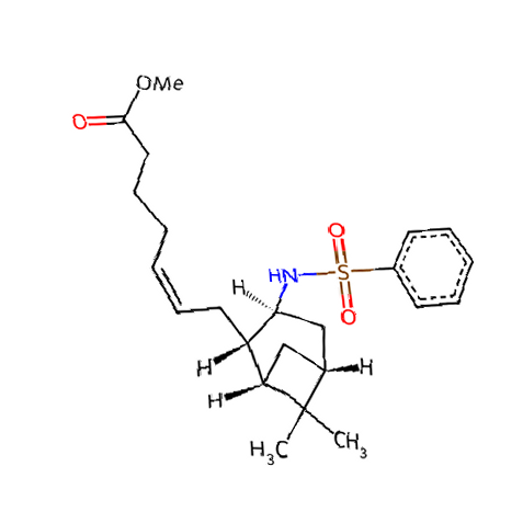 COC(=O)CCC/C=C\C[C@@H]1[C@@H](NS(=O)(=O)c2ccccc2)C[C@H]2C[C@@H]1C2(C)C